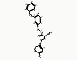 CC(C)C(/C=C/c1ccc(Cl)cc1)C(=O)OCc1cccc(Oc2ccccc2)c1